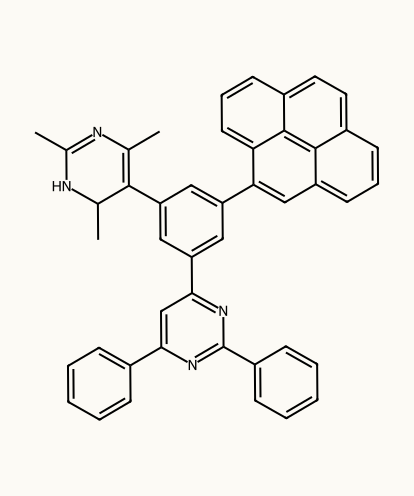 CC1=NC(C)=C(c2cc(-c3cc(-c4ccccc4)nc(-c4ccccc4)n3)cc(-c3cc4cccc5ccc6cccc3c6c54)c2)C(C)N1